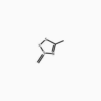 C=S1N=C(C)SS1